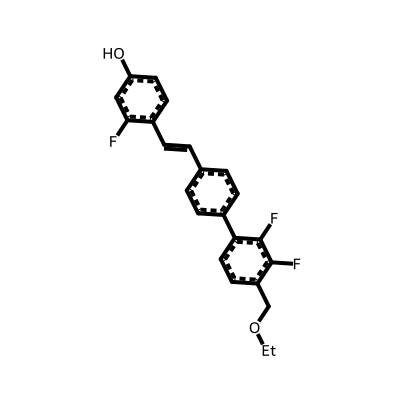 CCOCc1ccc(-c2ccc(/C=C/c3ccc(O)cc3F)cc2)c(F)c1F